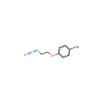 N#Cc1ccc(OCCN=[N+]=[N-])cc1